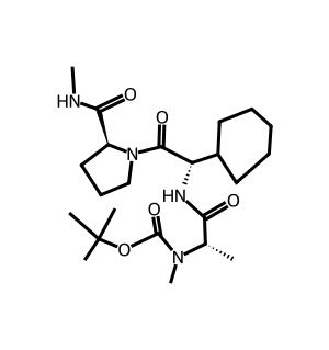 CNC(=O)[C@@H]1CCCN1C(=O)[C@@H](NC(=O)[C@H](C)N(C)C(=O)OC(C)(C)C)C1CCCCC1